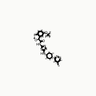 CO[C@H](C(=O)Nc1nnc(N[C@H]2CC[C@@H](c3cc(C)cnn3)CC2)s1)c1cc(OC(F)(F)F)ccc1F